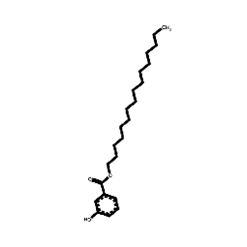 CCCCCCCCCCCCCCCCOC(=O)c1cccc(O)c1